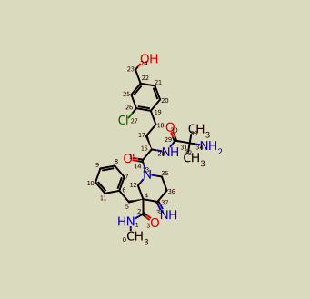 CNC(=O)[C@]1(Cc2ccccc2)CN(C(=O)[C@@H](CCc2ccc(CO)cc2Cl)NC(=O)C(C)(C)N)CCC1=N